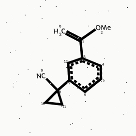 C=C(OC)c1cccc(C2(C#N)CC2)c1